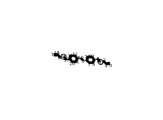 C=CCOC[C@H]1CC[C@H](CC[C@H]2CC[C@H](COCC=C)CC2)CC1